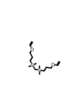 C=COCCC[Si](C)(C)C[Si](C)(C)CCCOC=C